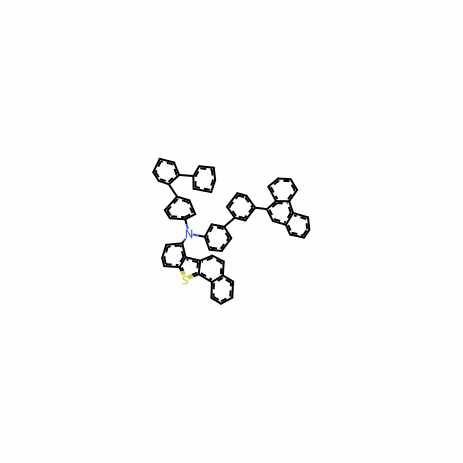 c1ccc(-c2ccccc2-c2ccc(N(c3cccc(-c4cccc(-c5cc6ccccc6c6ccccc56)c4)c3)c3cccc4sc5c6ccccc6ccc5c34)cc2)cc1